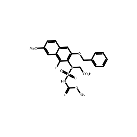 COc1ccc2cc(OCc3ccccc3)c(N(CC(=O)O)S(=O)(=O)NC(=O)OC(C)(C)C)c(F)c2c1